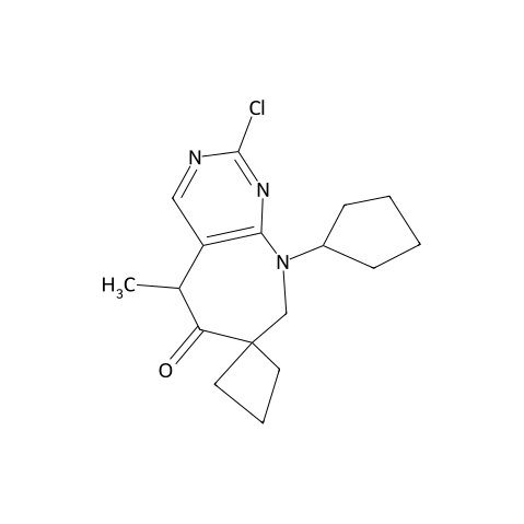 CC1C(=O)C2(CCC2)CN(C2CCCC2)c2nc(Cl)ncc21